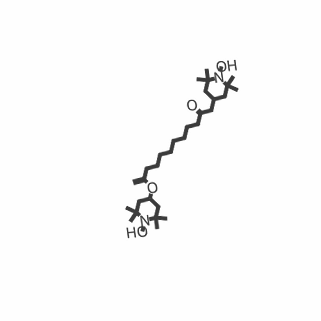 C=C(CCCCCCCCC(=O)CC1CC(C)(C)N(O)C(C)(C)C1)OC1CC(C)(C)N(O)C(C)(C)C1